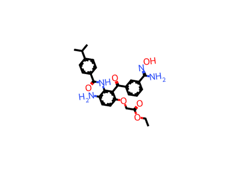 CCOC(=O)COc1ccc(N)c(NC(=O)c2ccc(C(C)C)cc2)c1C(=O)c1cccc(C(N)=NO)c1